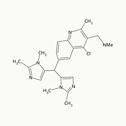 CNCc1c(C)nc2ccc(C(c3cnc(C)n3C)c3cnc(C)n3C)cc2c1Cl